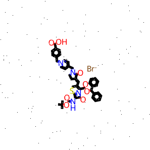 CC(C)(C)OC(=O)NC1C(=O)N2C(C(=O)OC(c3ccccc3)c3ccccc3)=C(C=C3CCN(Cc4cc[n+](Cc5ccc(C(=O)O)cc5)cc4)C3=O)CSC12.[Br-]